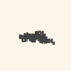 COc1cc2c(Nc3ccc(Br)c(Cl)c3)ncnc2cc1O[C@@H]1CO[C@@H]2[C@@H]1OC[C@@H]2OC